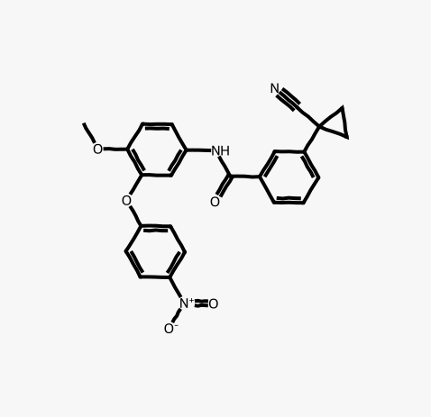 COc1ccc(NC(=O)c2cccc(C3(C#N)CC3)c2)cc1Oc1ccc([N+](=O)[O-])cc1